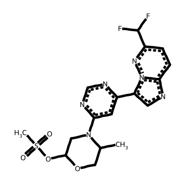 CC1COC(OS(C)(=O)=O)CN1c1cc(-c2cnc3ccc(C(F)F)nn23)ncn1